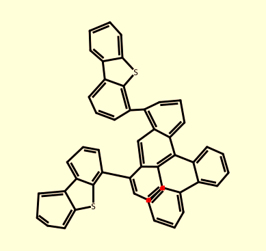 c1ccc(-c2ccccc2-c2c3cccc(-c4cccc5c4sc4ccccc45)c3cc3c(-c4cccc5c4sc4ccccc45)cccc23)cc1